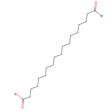 O=C(Br)CCCCCCCCCCCCCCCCC(=O)Br